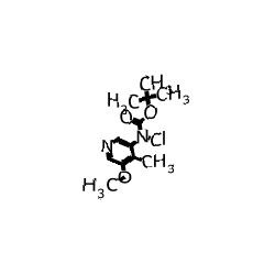 COc1cncc(N(Cl)C(=O)OC(C)(C)C)c1C